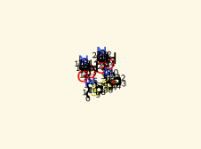 CCCCN(Cc1cccs1)C(=O)O[C@H]1CN2CCC1CC2.O=C(O[C@H]1CN2CCC1CC2)N(Cc1cccs1)Cc1cccs1